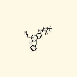 CC(C)(C)NC(=O)Nc1ccc2c(c1)C[C@@H](CC#N)C(=O)N2Cc1ccccc1